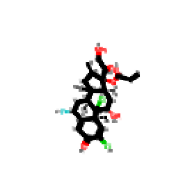 CCC(=O)O[C@]1(C(=O)CO)[C@H](C)C[C@H]2[C@@H]3C[C@H](F)C4=CC(=O)C(Cl)=C[C@]4(C)[C@@]3(Cl)[C@@H](O)C[C@@]21C